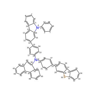 c1ccc(-n2c3ccccc3c3ccc(-c4ccc(N(c5ccc(-c6ccc7c(c6)sc6ccccc67)cc5)c5cc6ccccc6c6ccccc56)cc4)cc32)cc1